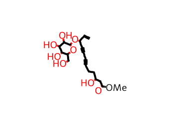 C=CC(C#CC#CCCC(O)CC(=O)OC)OC1OC(CO)C(O)C(O)C1O